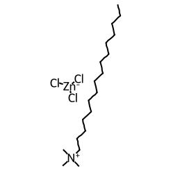 CCCCCCCCCCCCCCCC[N+](C)(C)C.[Cl][Zn-]([Cl])[Cl]